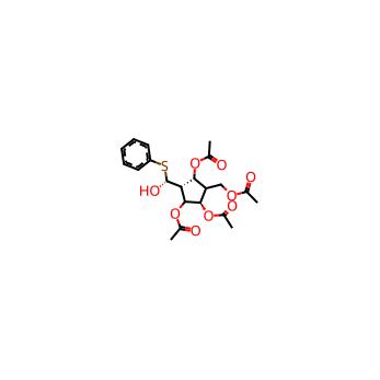 CC(=O)OCC1C(OC(C)=O)[C@@H]([C@H](O)Sc2ccccc2)C(OC(C)=O)[C@@H]1OC(C)=O